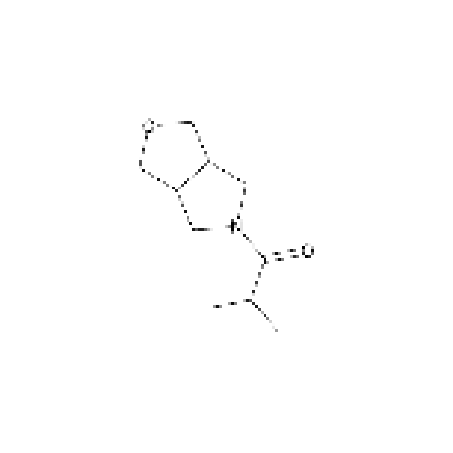 CC(C)C(=O)N1CC2COCC2C1